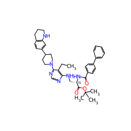 CCc1c(NC[C@H](NC(=O)c2ccc(-c3ccccc3)cc2)C(=O)OC(C)(C)C)ncnc1N1CCC(c2ccc3c(c2)NCCC3)CC1